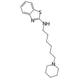 c1ccc2sc(NCCCCCCN3CCCCC3)nc2c1